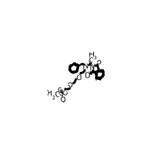 CC(N(CCOCCOCCOS(C)(=O)=O)Cc1ccccc1)N1C(=O)c2ccccc2C1=O